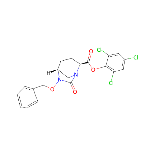 O=C(Oc1c(Cl)cc(Cl)cc1Cl)[C@@H]1CC[C@@H]2CN1C(=O)N2OCc1ccccc1